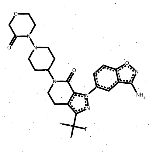 Nc1noc2ccc(-n3nc(C(F)(F)F)c4c3C(=O)N(C3CCN(N5CCOCC5=O)CC3)CC4)cc12